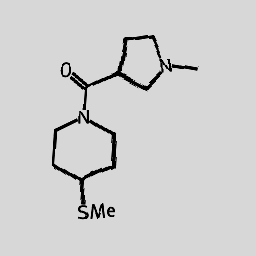 CSC1CCN(C(=O)C2CCN(C)C2)CC1